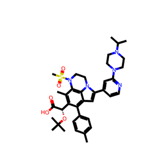 Cc1ccc(-c2c([C@H](OC(C)(C)C)C(=O)O)c(C)c3c4c2cc(-c2ccnc(N5CCN(C(C)C)CC5)c2)n4CCN3S(C)(=O)=O)cc1